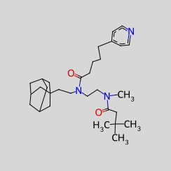 CN(CCN(CCC12CC3CC(CC(C3)C1)C2)C(=O)CCCCc1ccncc1)C(=O)CC(C)(C)C